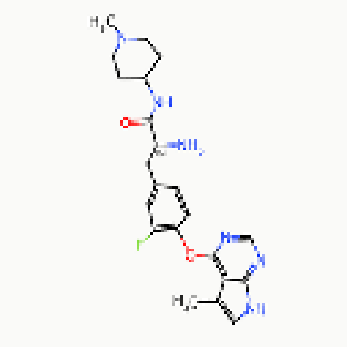 Cc1c[nH]c2ncnc(Oc3ccc(C[C@H](N)C(=O)NC4CCN(C)CC4)cc3F)c12